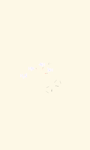 CC(C)C(NC(=O)OCC1c2ccccc2-c2ccccc21)C(=O)N[C@@H](C)C(=O)NCCN